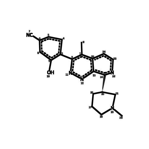 Cc1c(-c2ccc(C#N)cc2O)nnc2c([C@H]3CCCN(C)C3)nccc12